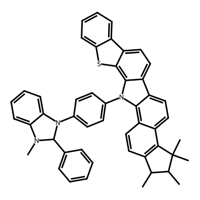 CC1c2ccc3c(ccc4c5ccc6c7ccccc7sc6c5n(-c5ccc(N6c7ccccc7N(C)C6c6ccccc6)cc5)c34)c2C(C)(C)C1C